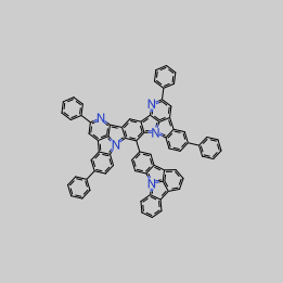 c1ccc(-c2ccc3c(c2)c2cc(-c4ccccc4)nc4c5cc6c7nc(-c8ccccc8)cc8c9cc(-c%10ccccc%10)ccc9n(c6c(-c6ccc9c(c6)c6cccc%10c%11ccccc%11n9c%106)c5n3c24)c87)cc1